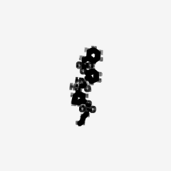 CCCCS(=O)(=O)Oc1cccc(NC(=O)Nc2ccccc2OS(=O)(=O)Cc2ccccc2)c1